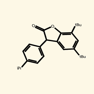 CC(C)c1ccc(C2C(=O)Oc3c2cc(C(C)(C)C)cc3C(C)(C)C)cc1